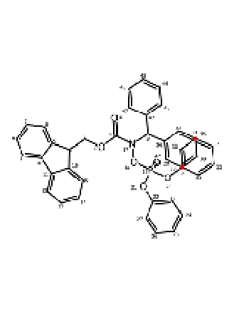 O=C(OCC1c2ccccc2-c2ccccc21)N(OP(=O)(Oc1ccccc1)Oc1ccccc1)C(c1ccccc1)c1ccccc1